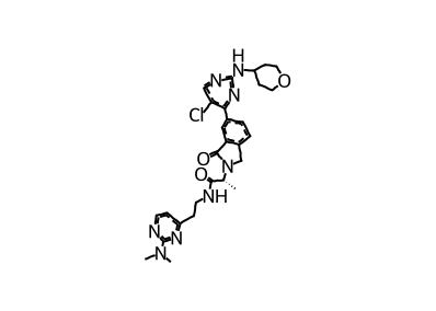 C[C@H](C(=O)NCCc1ccnc(N(C)C)n1)N1Cc2ccc(-c3nc(NC4CCOCC4)ncc3Cl)cc2C1=O